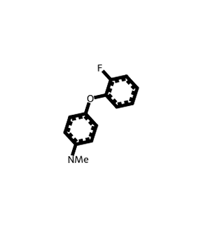 CNc1ccc(Oc2ccccc2F)cc1